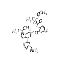 COCC(C)OC(=O)Cc1ccc(F)cc1OCc1cc(-c2ccnc(CN)c2)c2ccn(C(C)C)c2c1